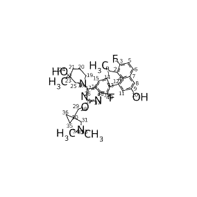 CCc1c(F)ccc2cc(O)cc(-c3ccc4c(N5CCCC(C)(O)C5)nc(OCC5(CN(C)C)CC5)nc4c3F)c12